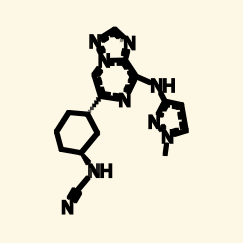 Cn1ccc(Nc2nc([C@H]3CCC[C@H](NC#N)C3)cn3ncnc23)n1